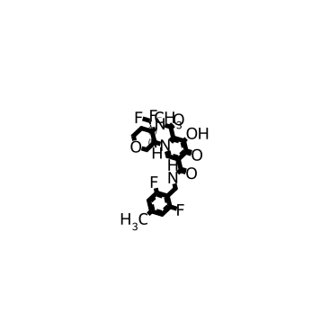 Cc1cc(F)c(CNC(=O)c2cn3c(c(O)c2=O)C(=O)N(C)[C@]2(C(F)F)CCOC[C@H]32)c(F)c1